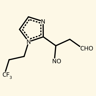 O=CCC(N=O)c1nccn1CCC(F)(F)F